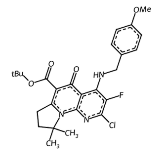 COc1ccc(CNc2c(F)c(Cl)nc3c2c(=O)c(C(=O)OC(C)(C)C)c2n3C(C)(C)CC2)cc1